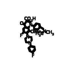 COc1c(N2CCN(c3ccc(F)cc3)CC2)c(F)cc2c(=O)c(C(=O)O)cn(-c3ccc(CN(C)C)cc3)c12